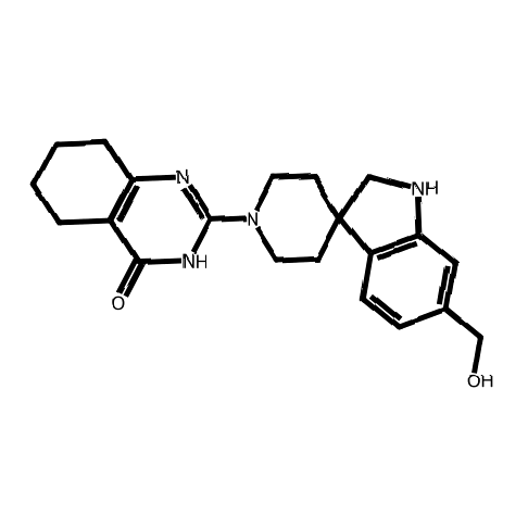 O=c1[nH]c(N2CCC3(CC2)CNc2cc(CO)ccc23)nc2c1CCCC2